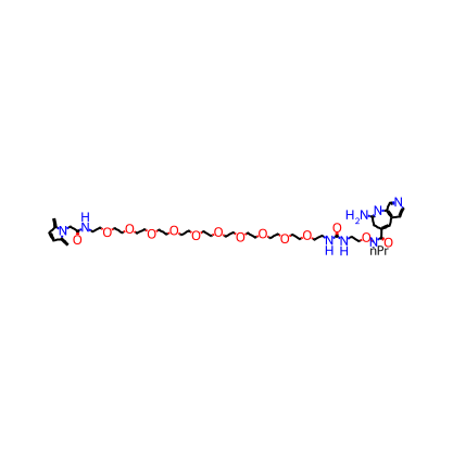 C=c1ccc(=C)n1CC(=O)NCCOCCOCCOCCOCCOCCOCCOCCOCCOCCOCCNC(=O)NCCON(CCC)C(=O)C1=Cc2ccncc2N=C(N)C1